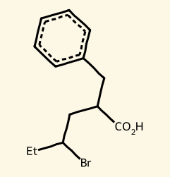 CCC(Br)CC(Cc1ccccc1)C(=O)O